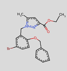 CCOC(=O)c1cc(C)n(Cc2cc(Br)ccc2OCc2ccccc2)n1